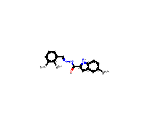 COc1cccc(C=NNC(=O)c2cc3cc(NC(C)=O)ccc3[nH]2)c1OC